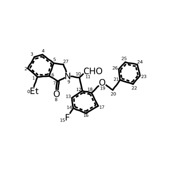 CCc1cccc2c1C(=O)N(C(C=O)c1cc(F)ccc1OCc1ccccc1)C2